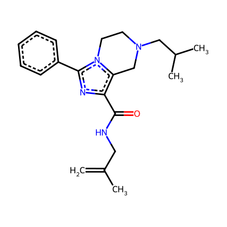 C=C(C)CNC(=O)c1nc(-c2ccccc2)n2c1CN(CC(C)C)CC2